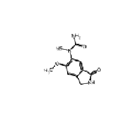 COc1cc2c(cc1N(S)C(N)=O)C(=O)NC2